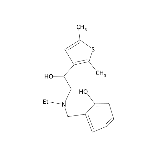 CCN(Cc1ccccc1O)CC(O)c1cc(C)sc1C